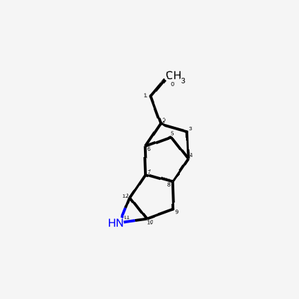 CCC1CC2CC1C1C2CC2NC21